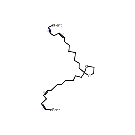 CCCCC/C=C\C/C=C\CCCCCCCC1(CCCCCCC/C=C\C/C=C\CCCCC)OCCO1